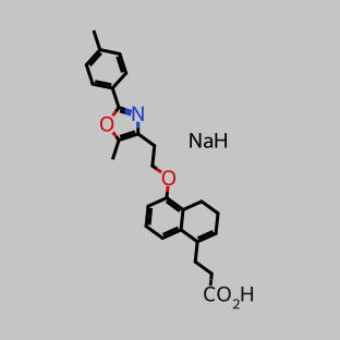 Cc1ccc(-c2nc(CCOc3cccc4c3CCC=C4CCC(=O)O)c(C)o2)cc1.[NaH]